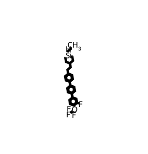 CCC[SiH]1CCC(CCc2ccc(-c3ccc(-c4ccc(OC(F)(F)F)c(F)c4)cc3)cc2)CC1